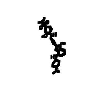 CCn1c(C#CCNc2ccc(S(=O)(=O)N(C)C)cc2OC)cc2c(NC3CCC(N(C)C)CC3)cccc21